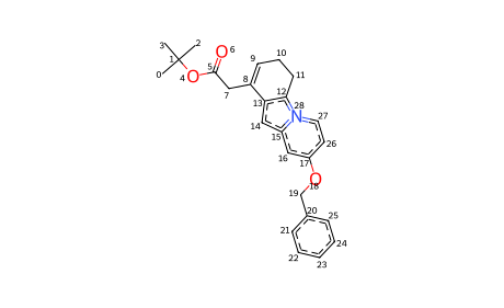 CC(C)(C)OC(=O)CC1=CCCc2c1cc1cc(OCc3ccccc3)ccn21